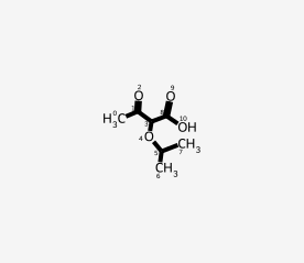 CC(=O)C(OC(C)C)C(=O)O